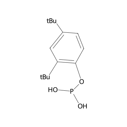 CC(C)(C)c1ccc(OP(O)O)c(C(C)(C)C)c1